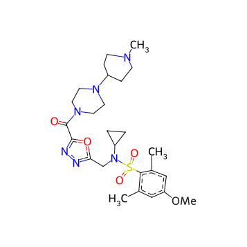 COc1cc(C)c(S(=O)(=O)N(Cc2nnc(C(=O)N3CCN(C4CCN(C)CC4)CC3)o2)C2CC2)c(C)c1